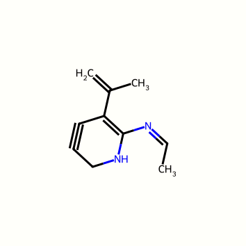 C=C(C)C1=C(/N=C\C)NCC#C1